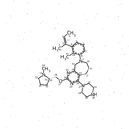 C/C=C(/C)c1cccc(N2CCCc3c(nc(OC[C@@H]4CCCN4C)nc3N3CCNCC3)C2)c1C